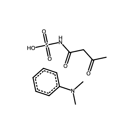 CC(=O)CC(=O)NS(=O)(=O)O.CN(C)c1ccccc1